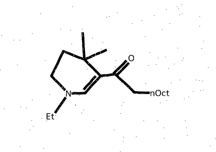 CCCCCCCCCC(=O)C1=CN(CC)CCC1(C)C